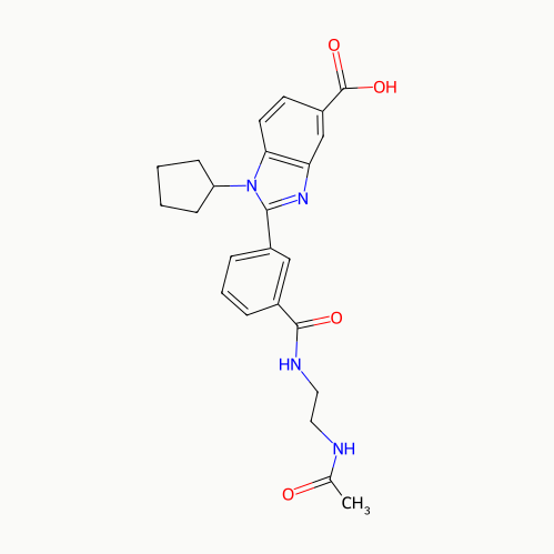 CC(=O)NCCNC(=O)c1cccc(-c2nc3cc(C(=O)O)ccc3n2C2CCCC2)c1